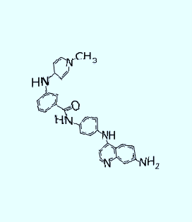 CN1C=CC(Nc2cccc(C(=O)Nc3ccc(Nc4ccnc5cc(N)ccc45)cc3)c2)C=C1